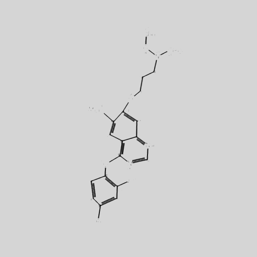 COc1cc2c(Oc3ccc(Br)cc3F)ncnc2cc1OCCCN(C=O)OC(C)(C)C